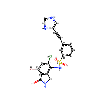 O=C1NCc2c(NS(=O)(=O)c3cccc(C#Cc4cnccn4)c3)c(Cl)cc(Br)c21